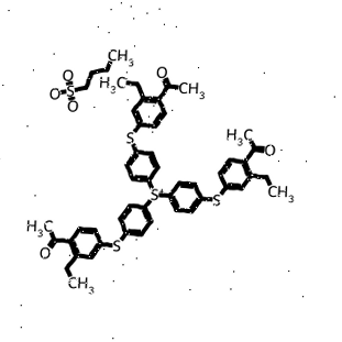 CCCCS(=O)(=O)[O-].CCc1cc(Sc2ccc([S+](c3ccc(Sc4ccc(C(C)=O)c(CC)c4)cc3)c3ccc(Sc4ccc(C(C)=O)c(CC)c4)cc3)cc2)ccc1C(C)=O